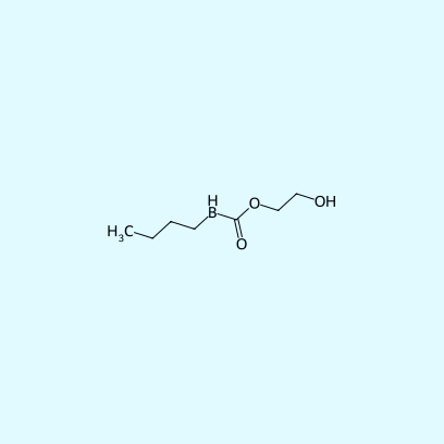 CCCCBC(=O)OCCO